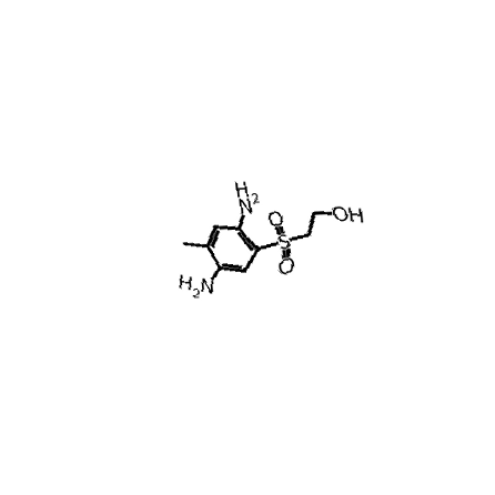 Cc1cc(N)c(S(=O)(=O)CCO)cc1N